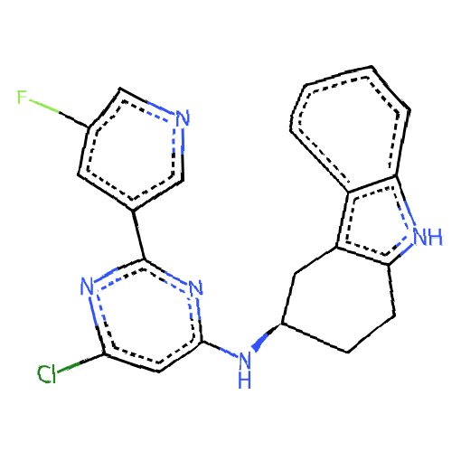 Fc1cncc(-c2nc(Cl)cc(N[C@@H]3CCc4[nH]c5ccccc5c4C3)n2)c1